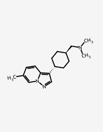 Cc1ccc2c([C@H]3CC[C@H](CN(C)C)CC3)cnn2c1